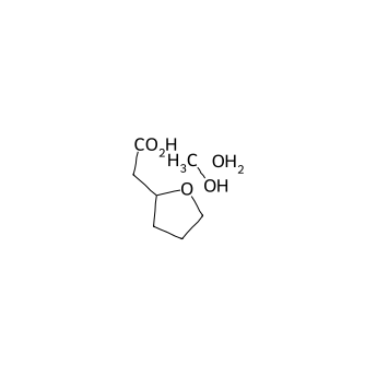 CO.O.O=C(O)CC1CCCO1